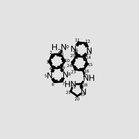 Nc1ccc2nccnc2c1.c1cnc2cc(NC3=NCCN3)ccc2n1